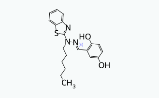 CCCCCCN(/N=C/c1cc(O)ccc1O)c1nc2ccccc2s1